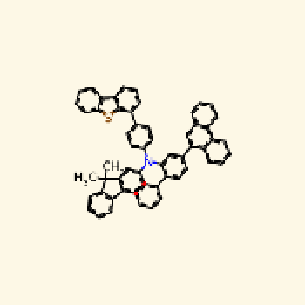 CC1(C)c2ccccc2-c2ccc(N(c3ccc(-c4cccc5c4sc4ccccc45)cc3)c3cc(-c4cc5ccccc5c5ccccc45)ccc3-c3ccccc3)cc21